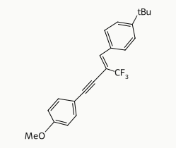 COc1ccc(C#CC(=Cc2ccc(C(C)(C)C)cc2)C(F)(F)F)cc1